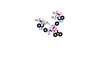 CCC(=O)N1c2ccccc2[C@H](Nc2ccc(NC(=O)CN(CC(=O)Nc3ccc(N[C@@H]4C[C@H](C)N(C(=O)CC)c5ccccc54)cc3)C(=O)OCC3c4ccccc4-c4ccccc43)cc2)C[C@@H]1C